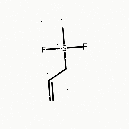 C=CCS(C)(F)F